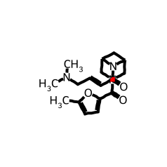 Cc1ccc(C(=O)N2CC3CC(C2)N3C(=O)/C=C/CN(C)C)o1